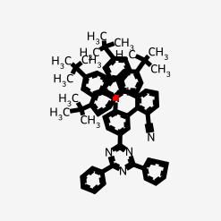 CC(C)(C)c1ccc2c(c1)c1cc(C(C)(C)C)ccc1n2-c1ccc(-c2nc(-c3ccccc3)nc(-c3ccccc3)n2)cc1-c1c(C#N)cccc1-n1c2ccc(C(C)(C)C)cc2c2cc(C(C)(C)C)ccc21